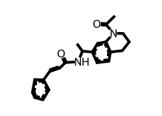 CC(=O)N1CCCc2ccc(C(C)NC(=O)C=Cc3ccccc3)cc21